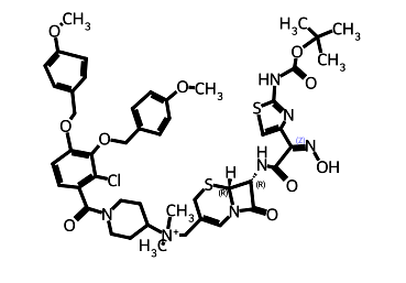 COc1ccc(COc2ccc(C(=O)N3CCC([N+](C)(C)CC4=CN5C(=O)[C@@H](NC(=O)/C(=N\O)c6csc(NC(=O)OC(C)(C)C)n6)[C@H]5SC4)CC3)c(Cl)c2OCc2ccc(OC)cc2)cc1